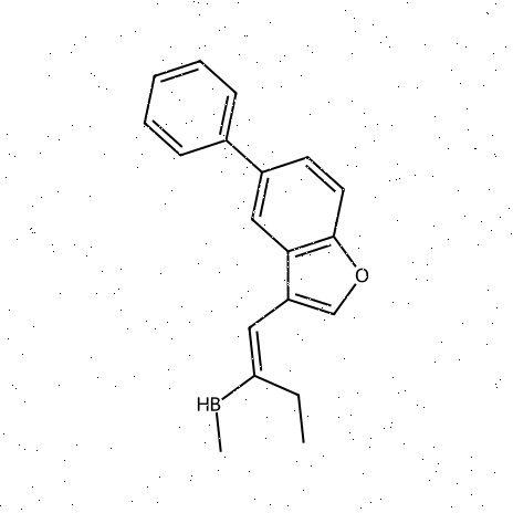 CB/C(=C/c1coc2ccc(-c3ccccc3)cc12)CC